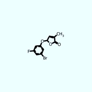 CC1=CC(Oc2cc(F)cc(Br)c2)OC1=O